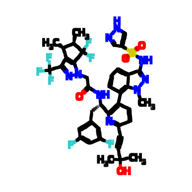 C[C@@H]1c2c(C(F)(F)F)nn(CC(=O)N[C@@H](Cc3cc(F)cc(F)c3)c3nc(C#CC(C)(C)O)ccc3-c3cccc4c(NS(=O)(=O)c5cn[nH]c5)nn(C)c34)c2C(F)(F)[C@@H]1C